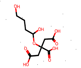 O=C(O)CC(CC(=O)O)(OC(O)CCCO)C(=O)O